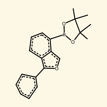 CC1(C)OB(c2cccc3c(-c4ccccc4)occ23)OC1(C)C